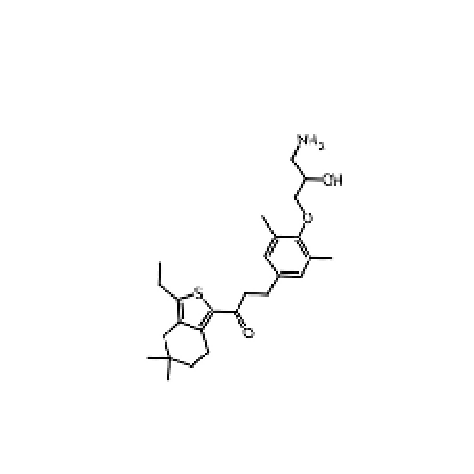 CCc1sc(C(=O)CCc2cc(C)c(OCC(O)CN)c(C)c2)c2c1CC(C)(C)CC2